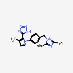 CCCCc1nc(CCC)nn1Cc1ccc(-n2ccc(C)c2-c2nnn[nH]2)cc1